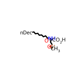 CCCCCCCCCCCCCCCCCC(=O)N[C@@H](CC[S+](C)[O-])C(=O)O